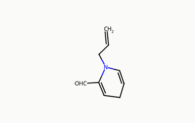 C=CCN1C=CCC=C1[C]=O